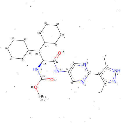 Cc1n[nH]c(C)c1-c1ncc(NC(=O)[C@@H](NC(=O)OC(C)(C)C)C(C2CCCCC2)C2CCCCC2)cn1